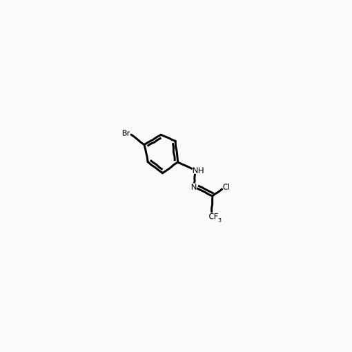 FC(F)(F)/C(Cl)=N/Nc1ccc(Br)cc1